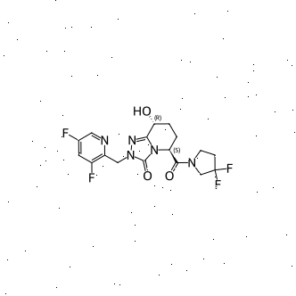 O=C([C@@H]1CC[C@@H](O)c2nn(Cc3ncc(F)cc3F)c(=O)n21)N1CCC(F)(F)C1